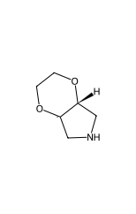 C1CO[C@@H]2CNC[C]2O1